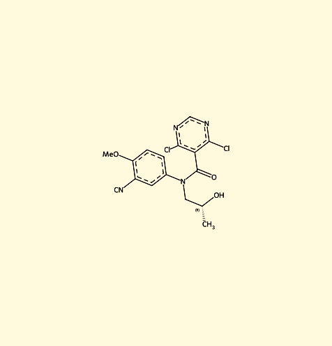 [C-]#[N+]c1cc(N(C[C@@H](C)O)C(=O)c2c(Cl)ncnc2Cl)ccc1OC